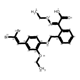 CCON=C(C(=O)O)c1ccccc1COc1ccc(C=C(Br)Br)cc1OCC